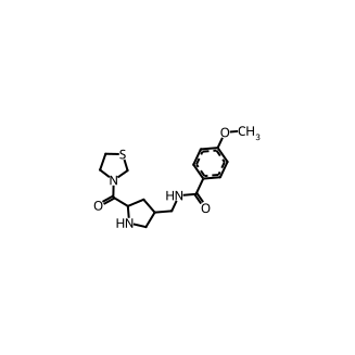 COc1ccc(C(=O)NCC2CNC(C(=O)N3CCSC3)C2)cc1